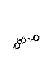 C1=CC(OC[C@@H]2Cn3c(nc4cnccc43)O2)=CCC1